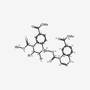 COC(=O)c1ccc2c(c1)N(C(=O)OC(C)(C)C)C(Br)C(Br)O2.COC(=O)c1ccc2c(c1)N(C(=O)OC(C)(C)C)C=CO2